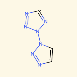 [c]1nnn(-n2ccnn2)n1